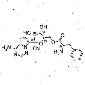 N#C[C@@]1(c2ccc3c(N)ncnn23)O[C@H](COC(=O)[C@@H](N)Cc2ccccc2)[C@@H](O)[C@H]1O